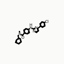 CN(Cc1ccccc1)C(=O)c1ccc(Nc2nccc(-c3ccc(Cl)cc3)n2)cc1